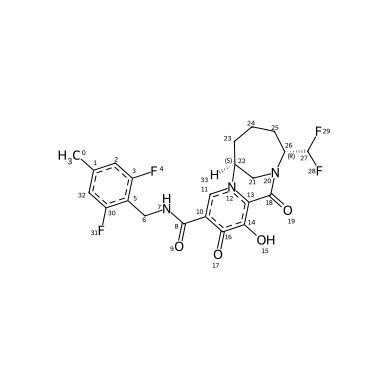 Cc1cc(F)c(CNC(=O)c2cn3c(c(O)c2=O)C(=O)N2C[C@@H]3CCC[C@@H]2C(F)F)c(F)c1